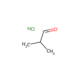 CC(C)[C]=O.Cl